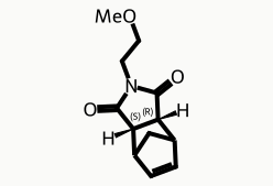 COCCN1C(=O)[C@@H]2C3C=CC(C3)[C@@H]2C1=O